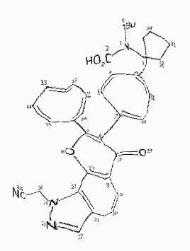 CC(C)(C)N(C(=O)O)C1(c2ccc(-c3c(-c4ccccc4)oc4c(ccc5cnn(CC#N)c54)c3=O)cc2)CCC1